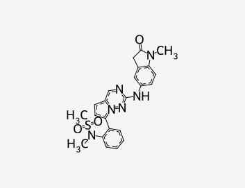 CN1C(=O)Cc2cc(Nc3ncc4ccc(-c5ccccc5N(C)S(C)(=O)=O)n4n3)ccc21